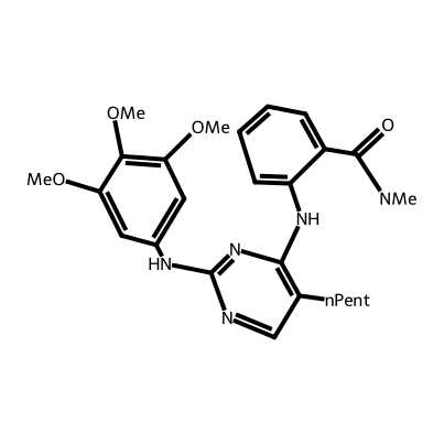 CCCCCc1cnc(Nc2cc(OC)c(OC)c(OC)c2)nc1Nc1ccccc1C(=O)NC